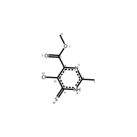 COC(=O)c1nc(C)[nH]c(=S)c1Cl